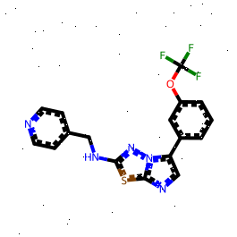 FC(F)(F)Oc1cccc(-c2cnc3sc(NCc4ccncc4)nn23)c1